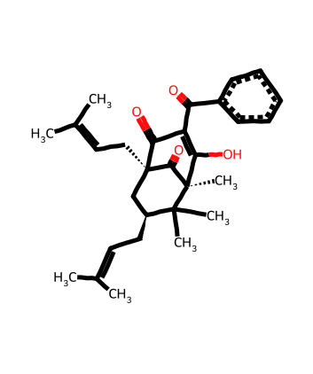 CC(C)=CC[C@H]1C[C@@]2(CC=C(C)C)C(=O)C(C(=O)c3ccccc3)=C(O)[C@](C)(C2=O)C1(C)C